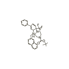 CC(C)(C)OC(=O)N1CCN(C2(C(F)(F)F)C=CC(c3ccccc3)=CC2NCc2ccc3ccccc3c2)CC1